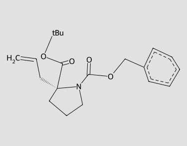 C=CC[C@@]1(C(=O)OC(C)(C)C)CCCN1C(=O)OCc1ccccc1